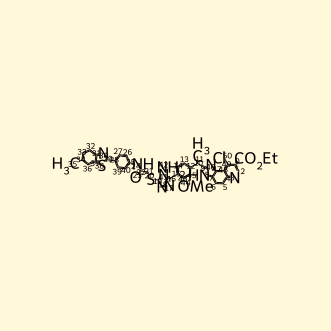 CCOC(=O)c1cnc2ccc3[nH]c(C(C)c4ccc(-c5nnc(SCC(=O)Nc6ccc(-c7nc8ccc(C)cc8s7)cc6)n5N)c(OC)c4)nc3c2c1Cl